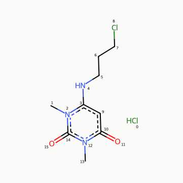 Cl.Cn1c(NCCCCl)cc(=O)n(C)c1=O